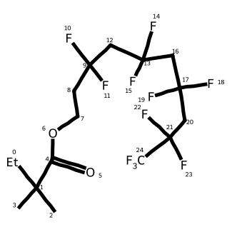 CCC(C)(C)C(=O)OCCC(F)(F)CC(F)(F)CC(F)(F)CC(F)(F)C(F)(F)F